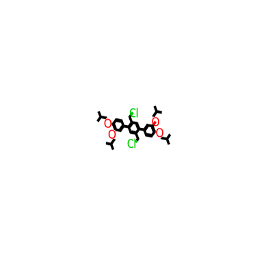 CC(C)COc1ccc(-c2cc(CCl)c(-c3ccc(OCC(C)C)c(OCC(C)C)c3)cc2CCl)cc1OCC(C)C